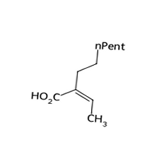 CC=C(CCCCCCC)C(=O)O